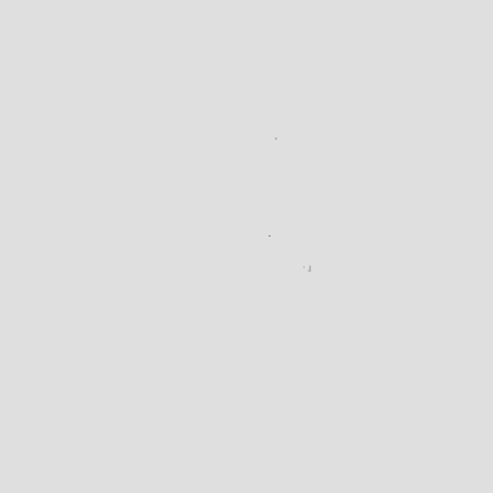 CCC(C)[NH][Hf]([C]1=C(C)C(C)=C(C)C1C)[SiH](c1ccccc1)c1ccccc1.Cl.Cl